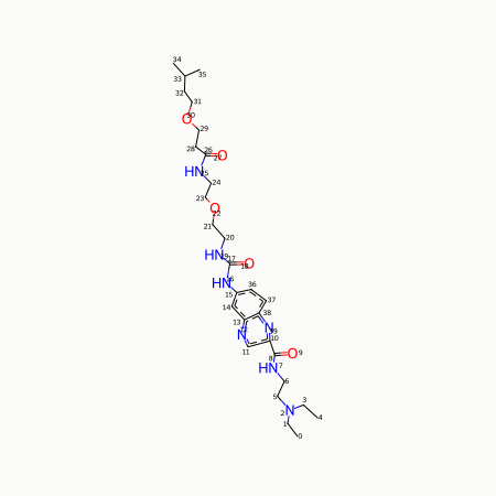 CCN(CC)CCNC(=O)c1cnc2cc(NC(=O)NCCOCCNC(=O)CCOCCC(C)C)ccc2n1